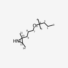 CCCC(C)(C)OCCCC1(C)NC1C